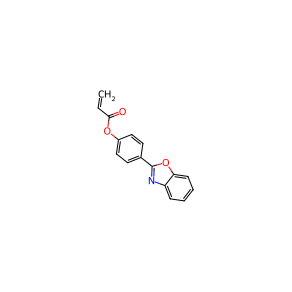 C=CC(=O)Oc1ccc(-c2nc3ccccc3o2)cc1